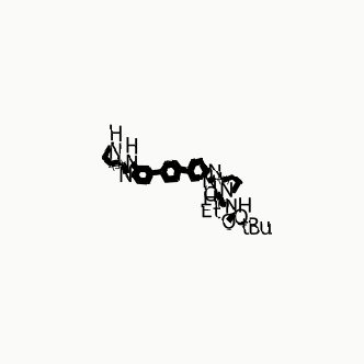 CC[C@H](NC(=O)OC(C)(C)C)C(=O)N1CCC[C@H]1c1nc2ccc(-c3ccc(-c4ccc5nc([C@@H]6CCCN6)[nH]c5c4)cc3)cc2[nH]1